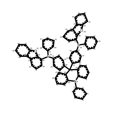 c1ccc(N2c3ccccc3C(c3ccc(N(c4ccccc4)c4cccc5c4oc4ccccc45)cc3)(c3ccc(N(c4ccccc4)c4cccc5c4oc4ccccc45)cc3)c3ccccc32)cc1